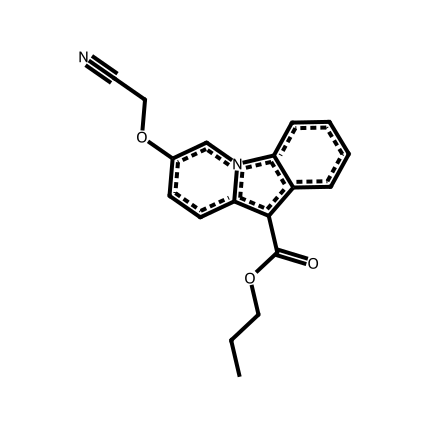 CCCOC(=O)c1c2ccccc2n2cc(OCC#N)ccc12